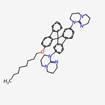 CCCCCCCCOc1ccc2c(c1)C1(c3ccccc3-2)c2cc(N3CCCN4CCCN=C43)ccc2-c2ccc(N3CCCN4CCCN=C43)cc21